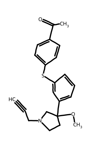 C#CCN1CCC(OC)(c2cccc(Sc3ccc(C(C)=O)cc3)c2)C1